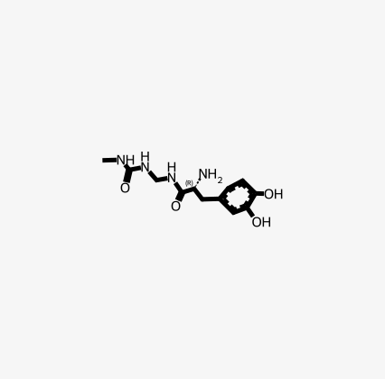 CNC(=O)NCNC(=O)[C@H](N)Cc1ccc(O)c(O)c1